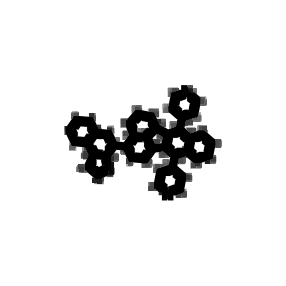 c1ccc2c(c1)cc(-c1ccc3c4c(cccc14)-c1c-3c(-c3ccncc3)c3ccccc3c1-c1ccncc1)c1sccc12